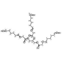 CCCCCCCCCCCCCCSOCC(=O)OCC(COC(=O)COSCCCCCCCCCCCCCC)OC(=O)COSCCCCCCCCCCCCCC